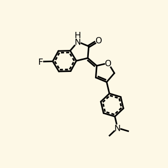 CN(C)c1ccc(C2=C/C(=C3/C(=O)Nc4cc(F)ccc43)OC2)cc1